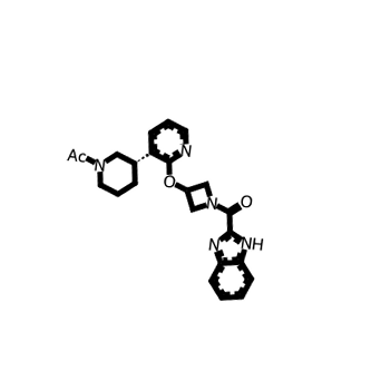 CC(=O)N1CCC[C@@H](c2cccnc2OC2CN(C(=O)c3nc4ccccc4[nH]3)C2)C1